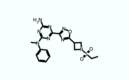 CCS(=O)(=O)N1CC(c2nc(-c3nc(N)nc(N(C)c4ccccc4)n3)no2)C1